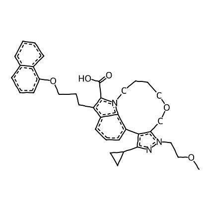 COCCn1nc(C2CC2)c2c1COCCCCn1c(C(=O)O)c(CCCOc3cccc4ccccc34)c3cccc-2c31